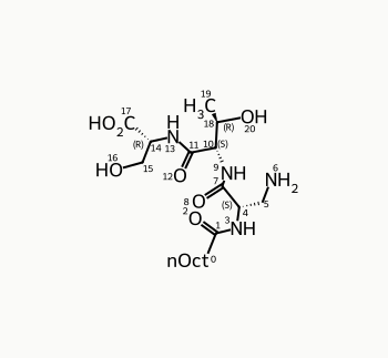 CCCCCCCCC(=O)N[C@@H](CN)C(=O)N[C@H](C(=O)N[C@H](CO)C(=O)O)[C@@H](C)O